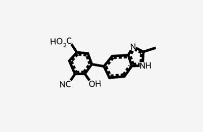 Cc1nc2cc(-c3cc(C(=O)O)cc(C#N)c3O)ccc2[nH]1